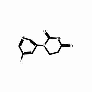 O=C1CCN(c2cncc(I)c2)C(=O)N1